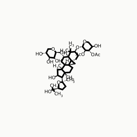 CC(=O)O[C@@H]1[C@@H](OC(C)=O)[C@H](O[C@H]2CC[C@]34C[C@]35CC[C@]3(C)[C@@H]([C@@]6(C)CC[C@@H](C(C)(C)O)O6)[C@@H](O)C[C@@]3(C)[C@@H]5C[C@H](O[C@@H]3OC[C@@H](O)[C@H](O)[C@H]3O)[C@H]4C2(C)C)OC[C@H]1O